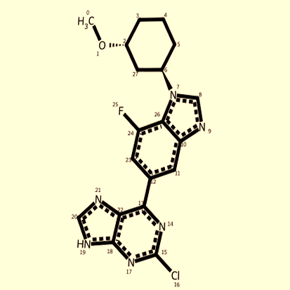 CO[C@@H]1CCC[C@@H](n2cnc3cc(-c4nc(Cl)nc5[nH]cnc45)cc(F)c32)C1